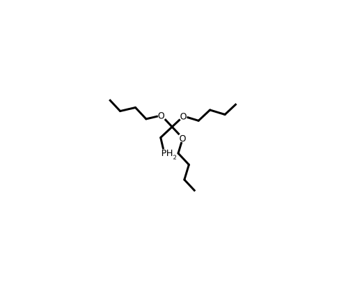 CCCCOC(CP)(OCCCC)OCCCC